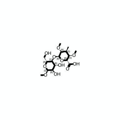 CO[C@H]1O[C@H](CO)[C@@H](O[C@@H]2O[C@@H](C(=O)O)[C@@H](OC)[C@H](C)[C@H]2OC)[C@H](O)[C@H]1O